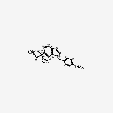 COc1ccc(Cn2ccc3ccc(C4(O)C[S+]([O-])C4)cc32)cc1